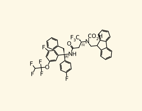 O=C(C[C@H](N(CC1c2ccccc2-c2ccccc21)C(=O)O)C(F)(F)F)N[C@](Cc1ccccc1)(c1ccc(F)cc1)c1cc(F)cc(OC(F)(F)C(F)F)c1